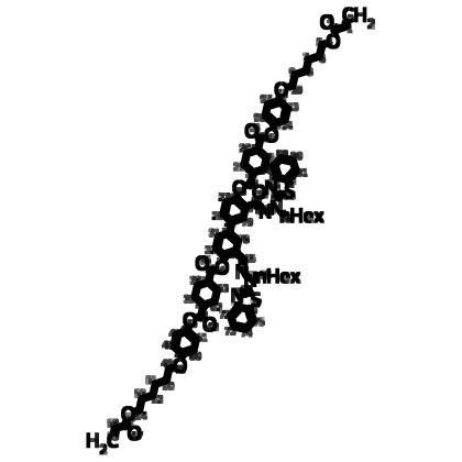 C=CC(=O)OCCCCCCOc1ccc(OC(=O)C2CCC(C(=O)Oc3ccc(-c4ccc(OC(=O)C5CCC(C(=O)Oc6ccc(OCCCCCCOC(=O)C=C)cc6)CC5)c(/C=N/N(CCCCCC)c5nc6ccccc6s5)c4)cc3/C=N/N(CCCCCC)c3nc4ccccc4s3)CC2)cc1